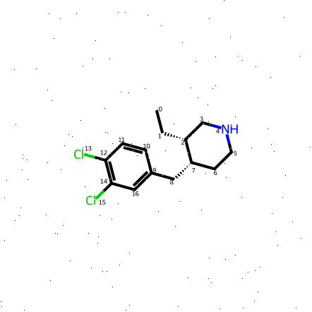 CC[C@@H]1CNCC[C@@H]1Cc1ccc(Cl)c(Cl)c1